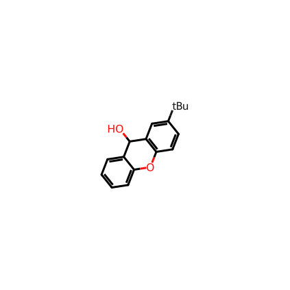 CC(C)(C)c1ccc2c(c1)C(O)c1ccccc1O2